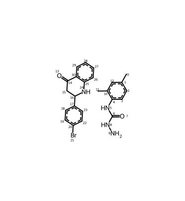 Cc1ccc(NC(=O)NN)c(C)c1.O=C1CC(c2ccc(Br)cc2)Nc2ccccc21